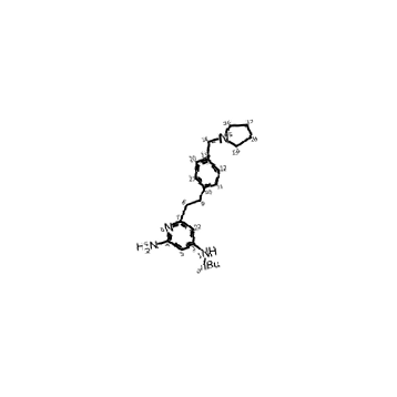 CCCCNc1cc(N)nc(CCc2ccc(CN3CCCC3)cc2)c1